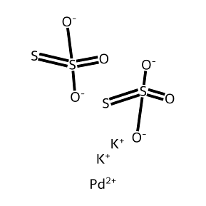 O=S([O-])([O-])=S.O=S([O-])([O-])=S.[K+].[K+].[Pd+2]